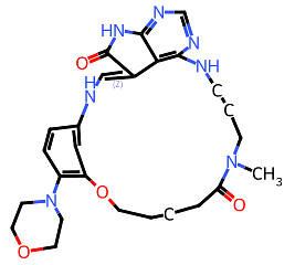 CN1CCCNc2ncnc3c2/C(=C/Nc2ccc(N4CCOCC4)c(c2)OCCCCC1=O)C(=O)N3